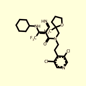 CC1(CN(CCc2c(Cl)cncc2Cl)C(=O)/C(C=N)=C(/NC2CCCCC2)C(F)(F)F)CCCO1